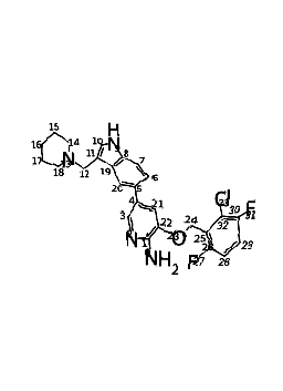 Nc1ncc(-c2ccc3[nH]cc(CN4CCCCC4)c3c2)cc1OCc1c(F)ccc(F)c1Cl